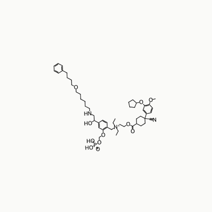 CC[N+](CC)(CCOC(=O)C1CCC(C#N)(c2ccc(OC)c(OC3CCCC3)c2)CC1)Cc1ccc(C(O)CNCCCCCCOCCCCc2ccccc2)cc1OCOP(=O)(O)O